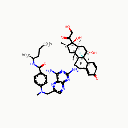 CN(Cc1cnc2nc(N)nc(N)c2n1)c1ccc(C(=O)NC(CCC(=O)O)C(=O)O)cc1.C[C@@H]1C[C@H]2[C@@H]3CCC4=CC(=O)C=C[C@]4(C)[C@@]3(F)[C@@H](O)C[C@]2(C)[C@@]1(O)C(=O)CO